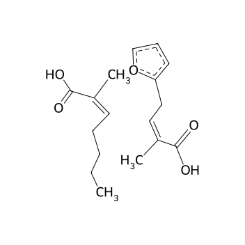 CC(=CCc1ccco1)C(=O)O.CCCCC=C(C)C(=O)O